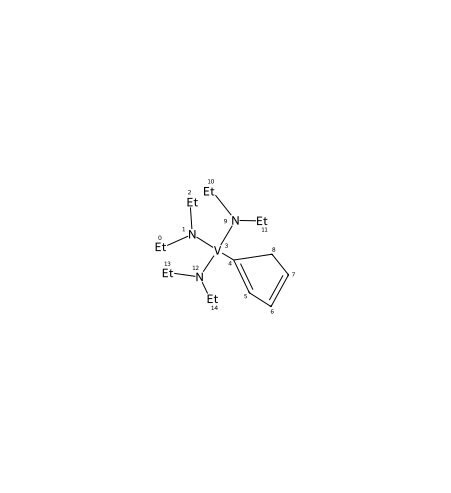 CC[N](CC)[V]([C]1=CC=CC1)([N](CC)CC)[N](CC)CC